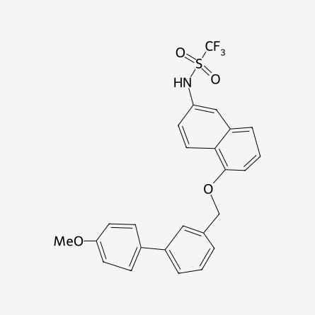 COc1ccc(-c2cccc(COc3cccc4cc(NS(=O)(=O)C(F)(F)F)ccc34)c2)cc1